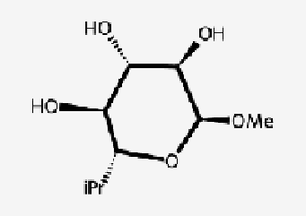 CO[C@H]1O[C@H](C(C)C)[C@@H](O)[C@H](O)[C@H]1O